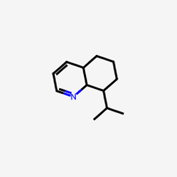 CC(C)C1CCCC2C=CC=NC21